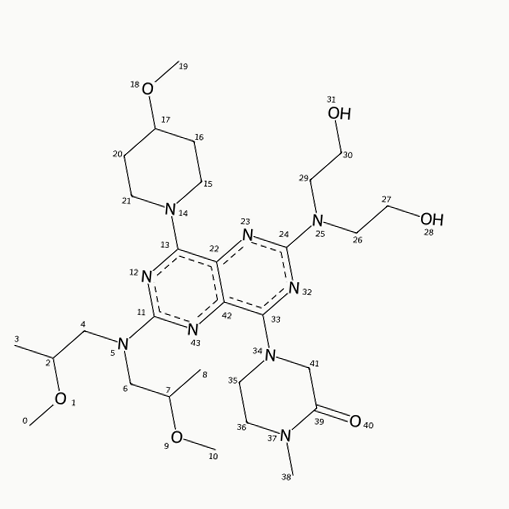 COC(C)CN(CC(C)OC)c1nc(N2CCC(OC)CC2)c2nc(N(CCO)CCO)nc(N3CCN(C)C(=O)C3)c2n1